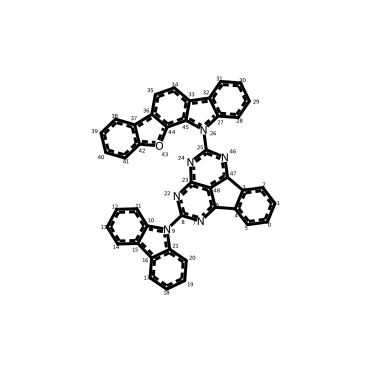 c1ccc2c(c1)-c1nc(-n3c4ccccc4c4ccccc43)nc3nc(-n4c5ccccc5c5ccc6c7ccccc7oc6c54)nc-2c13